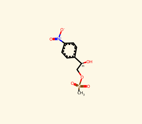 CS(=O)(=O)OC[C@H](O)c1ccc([N+](=O)[O-])cc1